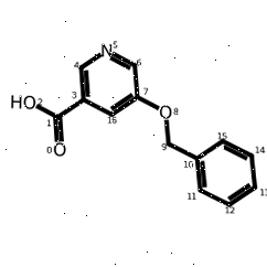 O=C(O)c1cncc(OCc2ccccc2)c1